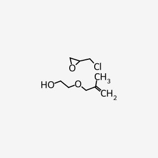 C=C(C)COCCO.ClCC1CO1